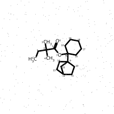 CCC(C)(C)C(=O)OC1(C23CCC(CC2)C3)CCCCC1